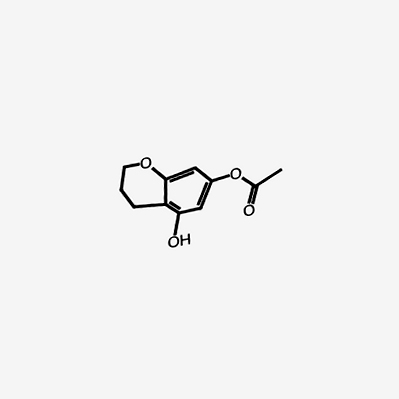 CC(=O)Oc1cc(O)c2c(c1)OCCC2